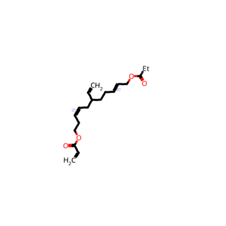 C=CC(=O)OCC/C=C\CC(C=C)CC/C=C/COC(=O)CC